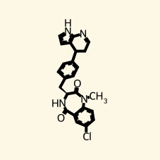 CN1C(=O)[C@H](Cc2ccc(C3CC=Nc4[nH]ccc43)cc2)NC(=O)c2cc(Cl)ccc21